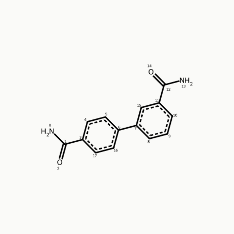 NC(=O)c1ccc(-c2cccc(C(N)=O)c2)cc1